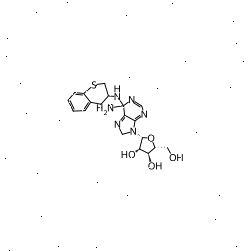 NC1(NC2CSc3ccccc3C2)N=CN=C2C1=NCN2[C@@H]1O[C@H](CO)[C@@H](O)[C@H]1O